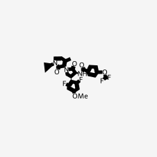 COc1cc(F)c([C@@H]2CN(c3c(C)ccn(C4CC4)c3=O)C(=O)[C@H]2NC(=O)c2ccc(OC(F)F)cc2)c(F)c1